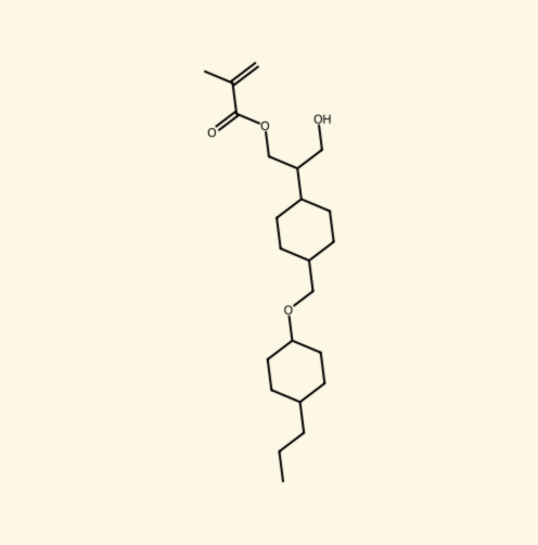 C=C(C)C(=O)OCC(CO)C1CCC(COC2CCC(CCC)CC2)CC1